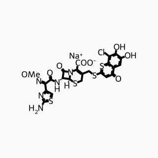 CO/N=C(\C(=O)N[C@@H]1C(=O)N2C(C(=O)[O-])=C(CSc3cc(=O)c4cc(O)c(O)c(Cl)c4s3)CS[C@@H]12)c1csc(N)n1.[Na+]